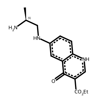 CCOC(=O)c1c[nH]c2ccc(NC[C@H](C)N)cc2c1=O